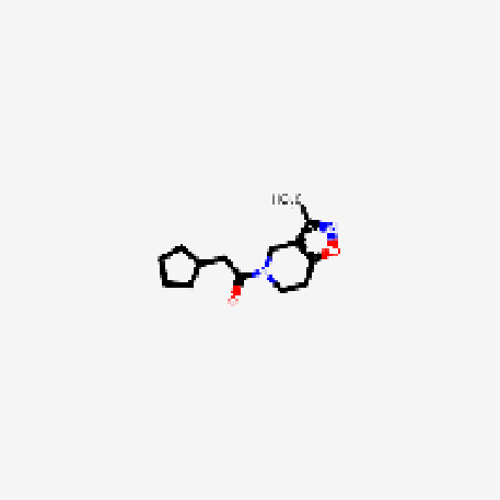 O=C(O)c1noc2c1CN(C(=O)CC1CCCC1)CC2